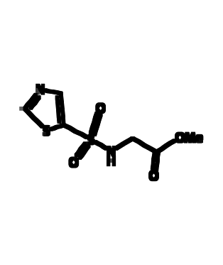 COC(=O)CNS(=O)(=O)c1cn[c]s1